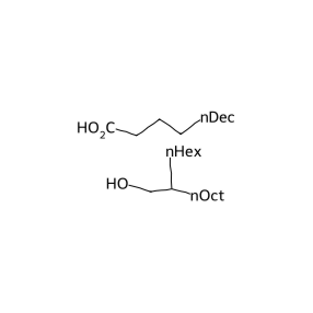 CCCCCCCCC(CO)CCCCCC.CCCCCCCCCCCCCC(=O)O